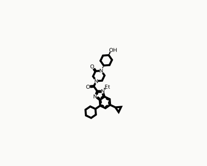 CCn1c(C(=O)N2CCN([C@H]3CC[C@H](O)CC3)C(=O)C2)nc2c(C3CCCCC3)cc(C3CC3)cc21